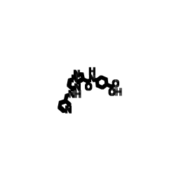 O=C(NC1CCC(C(=O)O)CC1)c1cnn2ccc(NCc3cccnc3)nc12